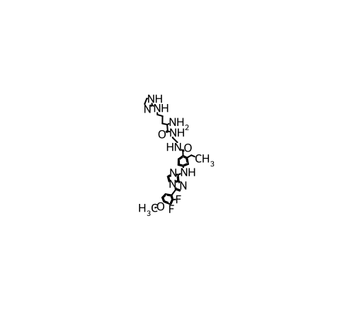 CCc1cc(Nc2nccn3c(-c4ccc(OC)c(F)c4F)cnc23)ccc1C(=O)NCCNC(=O)C(N)CCCNC1=NCCN1